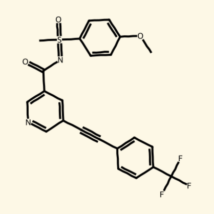 COc1ccc(S(C)(=O)=NC(=O)c2cncc(C#Cc3ccc(C(F)(F)F)cc3)c2)cc1